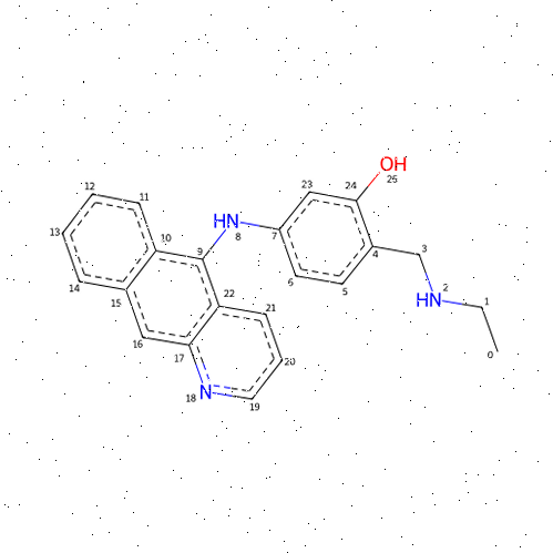 CCNCc1ccc(Nc2c3ccccc3cc3ncccc23)cc1O